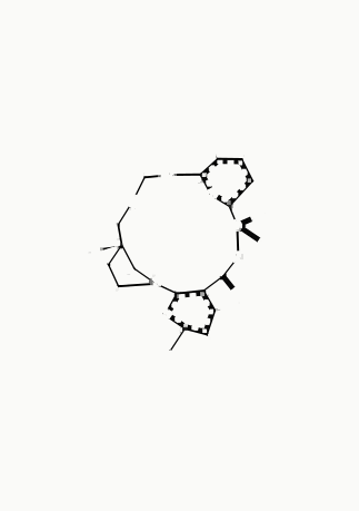 O=C1NS(=O)(=O)c2cccc(n2)NCCC[C@H]2CCN(C2)c2nc(Cl)ccc21